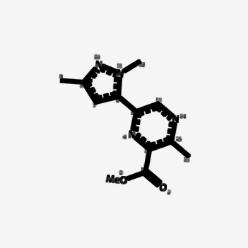 COC(=O)c1nc(-c2cc(C)nn2C)cnc1C